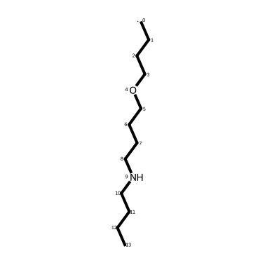 [CH2]CCCOCCCCNCCCC